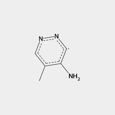 Cc1cnn[c]c1N